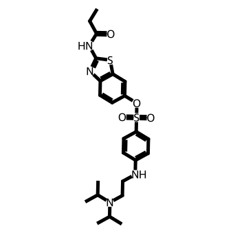 CCC(=O)Nc1nc2ccc(OS(=O)(=O)c3ccc(NCCN(C(C)C)C(C)C)cc3)cc2s1